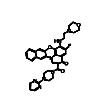 O=C(c1cn2c3c(c(NCCN4CCOCC4)c(F)cc3c1=O)Oc1cc3ccccc3cc1-2)N1CCN(c2ncccn2)CC1